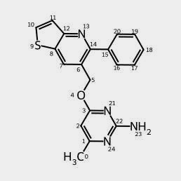 Cc1cc(OCc2cc3sccc3nc2-c2ccccc2)nc(N)n1